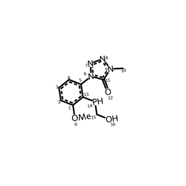 COc1cccc(-n2nnn(C)c2=O)c1PCO